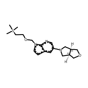 CS(C)(C)CCOCn1ccc2cc(N3C[C@H]4COC[C@H]4C3)cnc21